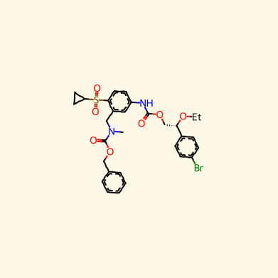 CCO[C@@H](COC(=O)Nc1ccc(S(=O)(=O)C2CC2)c(CN(C)C(=O)OCc2ccccc2)c1)c1ccc(Br)cc1